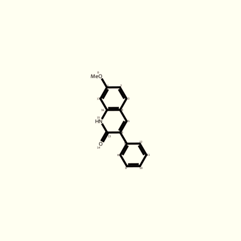 COc1ccc2cc(-c3ccccc3)c(=O)[nH]c2c1